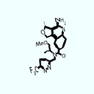 COC[C@H](C)N(Cc1ccc(C(F)(F)F)nn1)C(=O)c1ccc2nc(N)c3c(c2c1)CO[C@@H]3C